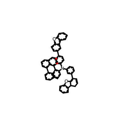 C1=CC(c2cccc(N(c3ccc(-c4ccc5oc6ccccc6c5c4)cc3)c3ccccc3-c3cccc4cccc(-c5ccccc5)c34)c2)=C2Oc3ccccc3C2C1